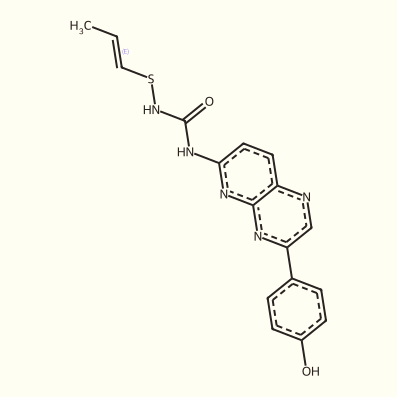 C/C=C/SNC(=O)Nc1ccc2ncc(-c3ccc(O)cc3)nc2n1